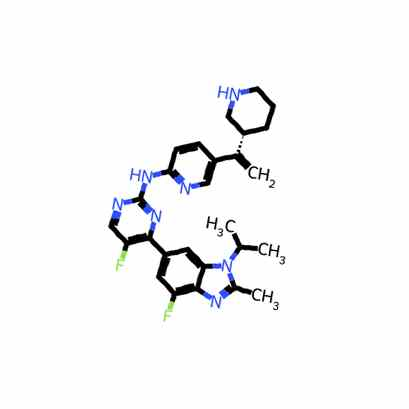 C=C(c1ccc(Nc2ncc(F)c(-c3cc(F)c4nc(C)n(C(C)C)c4c3)n2)nc1)[C@H]1CCCNC1